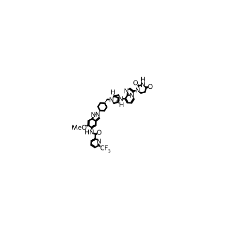 COc1cc2nn([C@H]3CC[C@H](CN4C[C@H]5C[C@@H]4CN5c4cccn5c(N6CCC(=O)NC6=O)cnc45)CC3)cc2cc1NC(=O)c1cccc(C(F)(F)F)n1